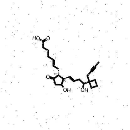 CC#CCC1(C(O)CC=C[C@H]2C(O)CC(=O)[C@@H]2CC=CCCCC(=O)O)CCC1